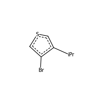 CC(C)c1cscc1Br